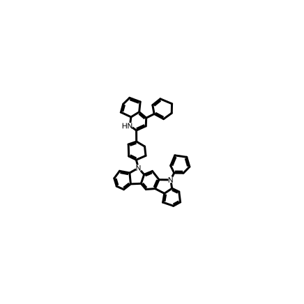 C1=CC2=C(C3=CCCC=C3)C=C(C3=CC=C(n4c5ccccc5c5cc6c7ccccc7n(-c7ccccc7)c6cc54)CC3)NC2C=C1